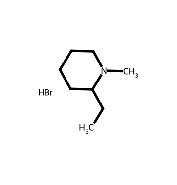 Br.CCC1CCCCN1C